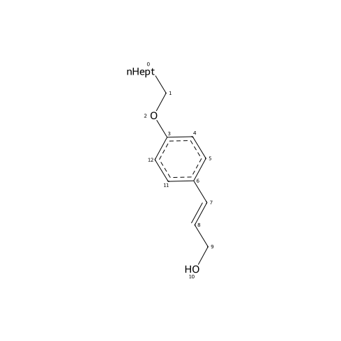 CCCCCCCCOc1ccc(C=CCO)cc1